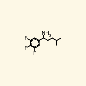 CC(C)CCC(N)c1cc(F)c(F)c(F)c1